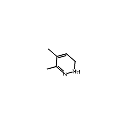 CC1=CCNN=C1C